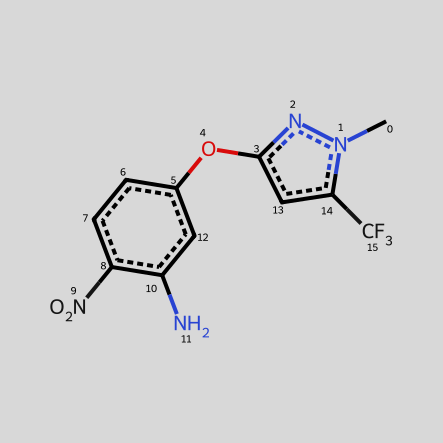 Cn1nc(Oc2ccc([N+](=O)[O-])c(N)c2)cc1C(F)(F)F